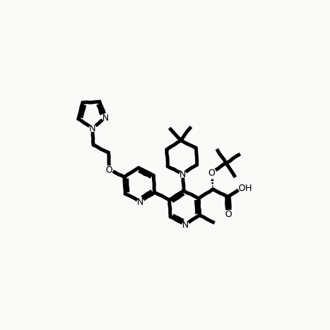 Cc1ncc(-c2ccc(OCCn3cccn3)cn2)c(N2CCC(C)(C)CC2)c1[C@H](OC(C)(C)C)C(=O)O